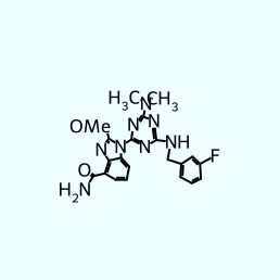 COc1nc2c(C(N)=O)cccc2n1-c1nc(NCc2cccc(F)c2)nc(N(C)C)n1